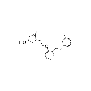 CN1CC(O)CC1CCOc1ccccc1CCc1cccc(F)c1